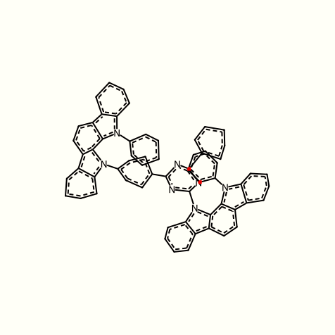 c1ccc(-c2nc(-c3ccc(-n4c5ccccc5c5ccc6c7ccccc7n(-c7ccccc7)c6c54)cc3)nc(-n3c4ccccc4c4ccc5c6ccccc6n(-c6ccccc6)c5c43)n2)cc1